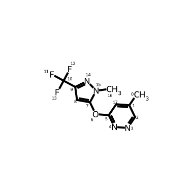 Cc1cnnc(Oc2cc(C(F)(F)F)nn2C)c1